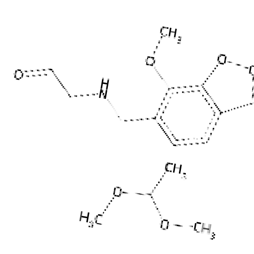 COC(C)OC.COc1c(CNCC=O)ccc2c1OOC2